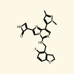 Cc1cc(-c2cnc(NCc3c(F)ccc4c3CCO4)n3cc(C4=CNC4=O)nc23)n(C)n1